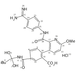 CCC(C)C(O)(O)NC(=O)c1ccc(-c2ccc(OC)nc2C(=O)Nc2ccc(C(=N)N)cc2)c(C(=O)O)c1.Cl